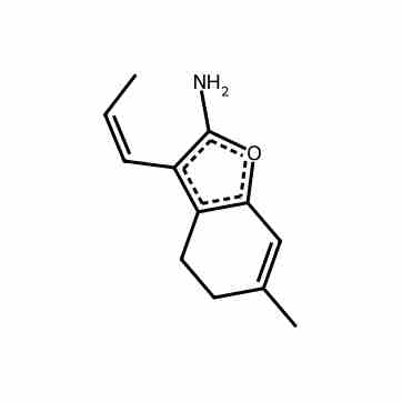 C/C=C\c1c(N)oc2c1CCC(C)=C2